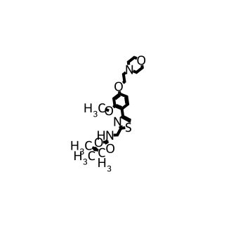 COc1cc(OCCN2CCOCC2)ccc1-c1csc(CNC(=O)OC(C)(C)C)n1